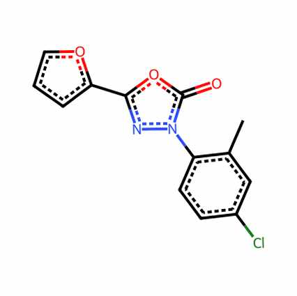 Cc1cc(Cl)ccc1-n1nc(-c2ccco2)oc1=O